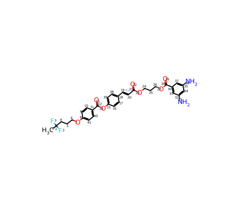 CC(F)(F)CCCOc1ccc(C(=O)Oc2ccc(/C=C/C(=O)OCCCOC(=O)c3cc(N)cc(N)c3)cc2)cc1